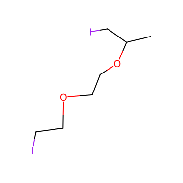 CC(CI)OCCOCCI